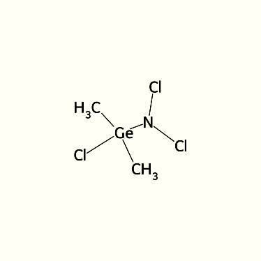 [CH3][Ge]([CH3])([Cl])[N](Cl)Cl